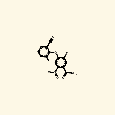 N#Cc1cccc(F)c1Oc1cc([N+](=O)[O-])c(C(N)=O)cc1F